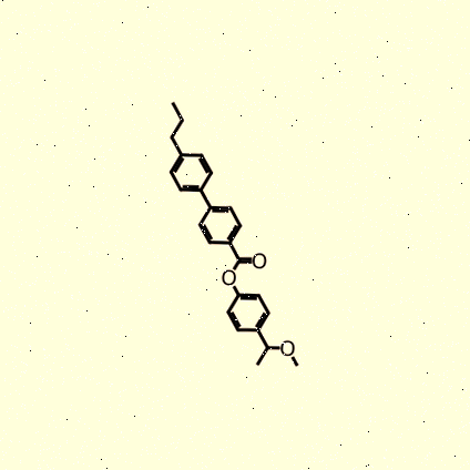 CCCc1ccc(-c2ccc(C(=O)Oc3ccc(C(C)OC)cc3)cc2)cc1